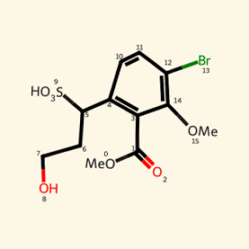 COC(=O)c1c(C(CCO)S(=O)(=O)O)ccc(Br)c1OC